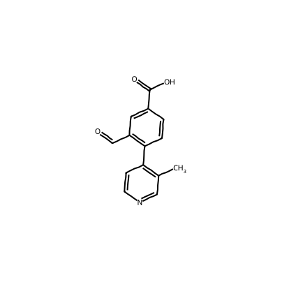 Cc1cnccc1-c1ccc(C(=O)O)cc1C=O